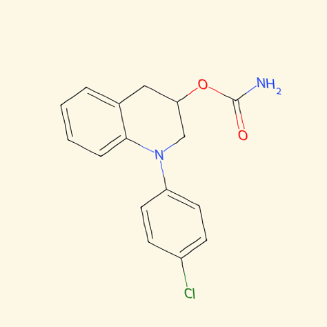 NC(=O)OC1Cc2ccccc2N(c2ccc(Cl)cc2)C1